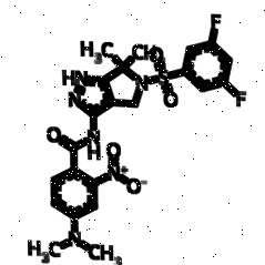 CN(C)c1ccc(C(=O)Nc2n[nH]c3c2CN(S(=O)(=O)c2cc(F)cc(F)c2)C3(C)C)c([N+](=O)[O-])c1